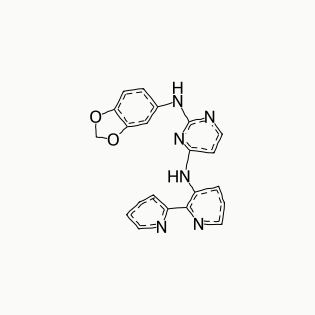 c1ccc(-c2ncccc2Nc2ccnc(Nc3ccc4c(c3)OCO4)n2)nc1